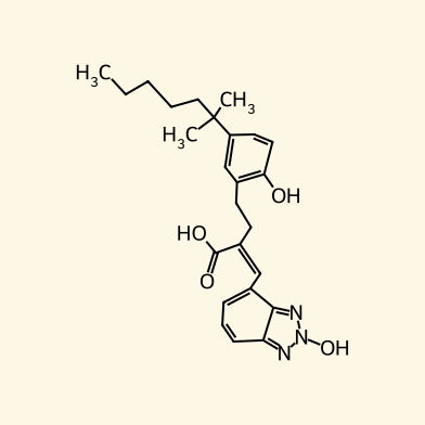 CCCCCC(C)(C)c1ccc(O)c(CCC(=Cc2cccc3nn(O)nc23)C(=O)O)c1